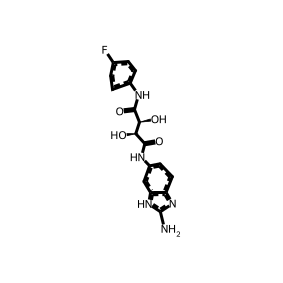 Nc1nc2ccc(NC(=O)[C@@H](O)[C@H](O)C(=O)Nc3ccc(F)cc3)cc2[nH]1